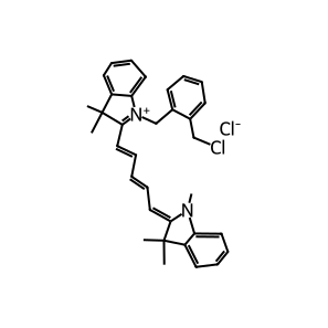 CN1C(=CC=CC=CC2=[N+](Cc3ccccc3CCl)c3ccccc3C2(C)C)C(C)(C)c2ccccc21.[Cl-]